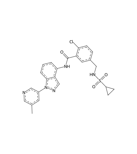 Cc1cncc(-n2ncc3c(NC(=O)c4cc(CNS(=O)(=O)C5CC5)ccc4Cl)cccc32)c1